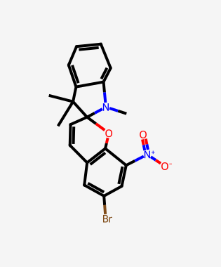 CN1c2ccccc2C(C)(C)C12C=Cc1cc(Br)cc([N+](=O)[O-])c1O2